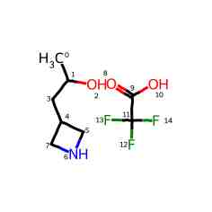 CC(O)CC1CNC1.O=C(O)C(F)(F)F